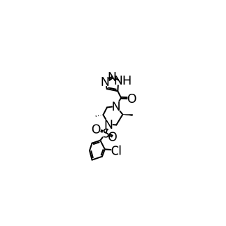 C[C@@H]1CN(C(=O)c2cnn[nH]2)[C@@H](C)CN1S(=O)(=O)c1ccccc1Cl